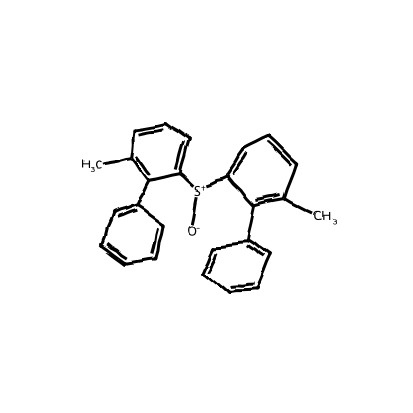 Cc1cccc([S+]([O-])c2cccc(C)c2-c2ccccc2)c1-c1ccccc1